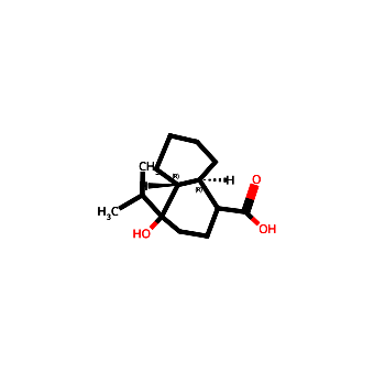 CC(C)C1(O)CCC(C(=O)O)[C@@H]2CCCC[C@H]21